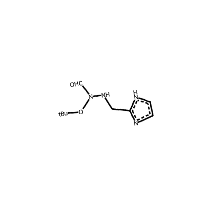 CC(C)(C)ON(C=O)NCc1ncc[nH]1